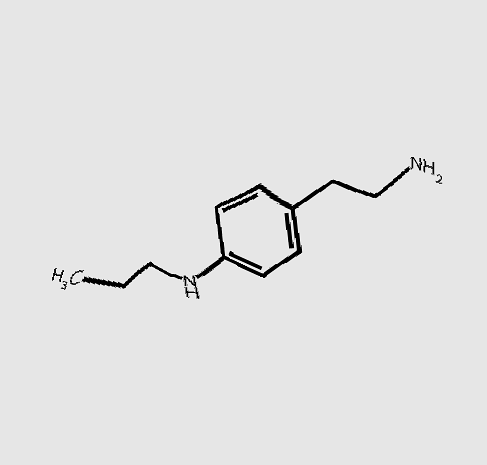 CCCNc1ccc(CCN)cc1